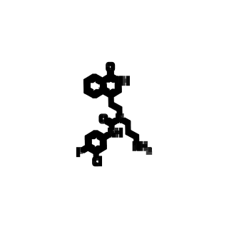 NCCCN(CCc1c[nH]c(=O)c2ccccc12)C(=O)Nc1ccc(F)c(Cl)c1